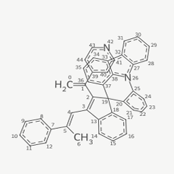 C=C(C1=C(/C=C(\C)c2ccccc2)c2ccccc2C12c1ccccc1-n1c3ccccc3c3cccc2c31)c1ccncc1